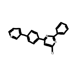 Clc1cc(-c2ccc(-c3cccnc3)cc2)nc(-c2ccccc2)n1